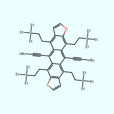 CCCCC#Cc1c2c(CC[Si](CC)(CC)CC)c3ccsc3c(CC[Si](CC)(CC)CC)c2c(C#CCCCC)c2c(CC[Si](CC)(CC)CC)c3ccoc3c(CC[Si](CC)(CC)CC)c12